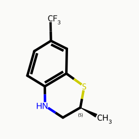 C[C@H]1CNc2ccc(C(F)(F)F)cc2S1